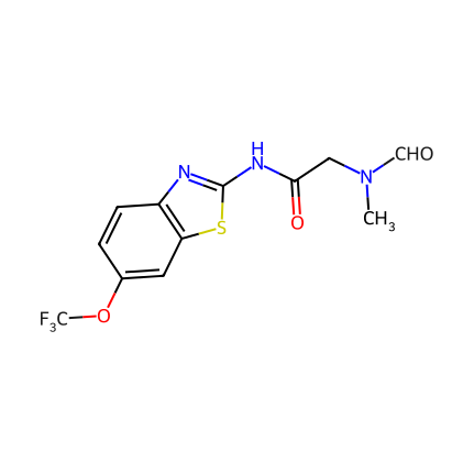 CN(C=O)CC(=O)Nc1nc2ccc(OC(F)(F)F)cc2s1